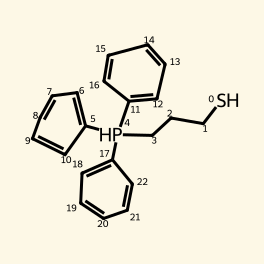 SCCC[PH](c1ccccc1)(c1ccccc1)c1ccccc1